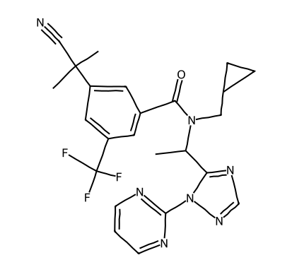 CC(c1ncnn1-c1ncccn1)N(CC1CC1)C(=O)c1cc(C(F)(F)F)cc(C(C)(C)C#N)c1